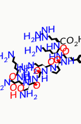 N=C(N)NCC/C=C(\NC(=O)[C@H](CCCCN)NC(=O)[C@H](CCc1cccc(F)c1)NC(=O)[C@@H]1CCCN1C(=O)[C@@H](CCCN)NC(=O)CNC(=O)[C@H](CCN)NC(=O)[C@@H](NC(=O)[C@@H](N)CCCCN)[C@@H](O)CN)C(=O)O